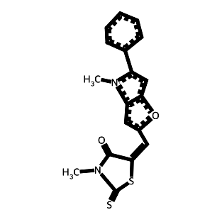 CN1C(=O)/C(=C\c2cc3c(cc(-c4ccccc4)n3C)o2)SC1=S